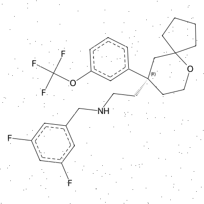 Fc1cc(F)cc(CNCC[C@@]2(c3cccc(OC(F)(F)F)c3)CCOC3(CCCC3)C2)c1